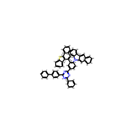 c1ccc(-c2ccc(-c3nc(-c4ccccc4)nc(-c4ccc(-n5c6ccccc6c6cc7ccccc7cc65)c(-c5cc6ccccc6c6sc7ccccc7c56)c4)n3)cc2)cc1